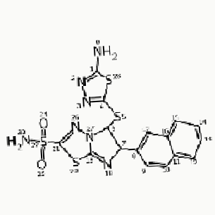 Nc1nnc(SC2C(c3ccc4ccccc4c3)N=C3SC(S(N)(=O)=O)=NN32)s1